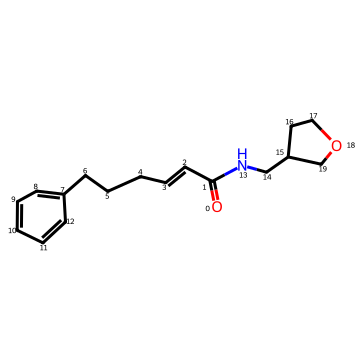 O=C(/C=C/CCCc1ccccc1)NCC1CCOC1